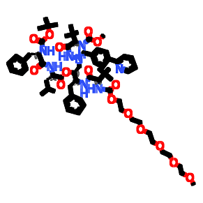 COCCOCCOCCOCCOCCOC(=O)N[C@H](C(=O)N[C@@H](Cc1ccccc1)[C@H](CN(Cc1ccc(-c2ccccn2)cc1)NC(=O)[C@@H](NC(=O)OC)C(C)(C)C)OC(=O)[C@H](CC(C)C)NC(=O)[C@H](Cc1ccccc1)NC(=O)OC(C)(C)C)C(C)(C)C